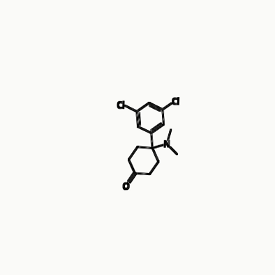 CN(C)C1(c2cc(Cl)cc(Cl)c2)CCC(=O)CC1